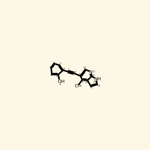 Oc1ccccc1C#Cc1cnc2[nH]ccc2c1Cl